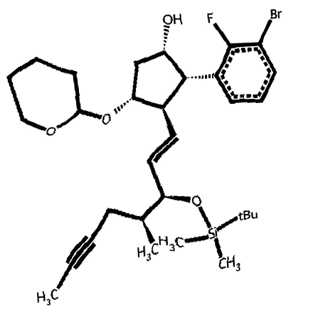 CC#CC[C@H](C)[C@@H](/C=C/[C@@H]1[C@@H](c2cccc(Br)c2F)[C@@H](O)C[C@H]1OC1CCCCO1)O[Si](C)(C)C(C)(C)C